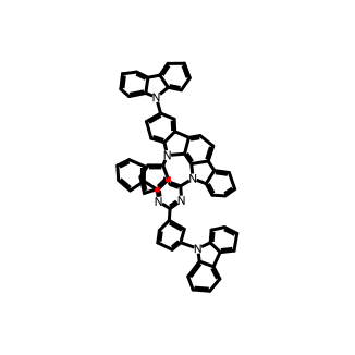 c1ccc(-c2nc(-c3cccc(-n4c5ccccc5c5ccccc54)c3)nc(-n3c4ccccc4c4ccc5c6cc(-n7c8ccccc8c8ccccc87)ccc6n(-c6ccccc6)c5c43)n2)cc1